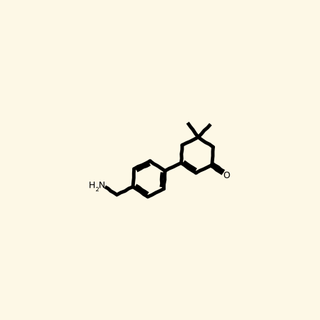 CC1(C)CC(=O)C=C(c2ccc(CN)cc2)C1